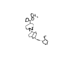 COC(=O)C1CCN(C2CCc3cc(C#Cc4ccccc4F)ccc32)CC1